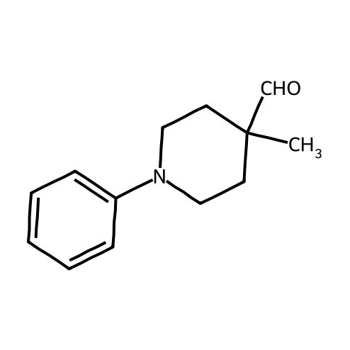 CC1(C=O)CCN(c2ccccc2)CC1